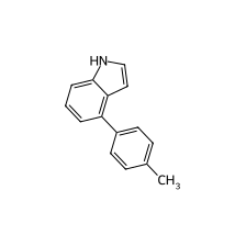 Cc1ccc(-c2cccc3[nH]ccc23)cc1